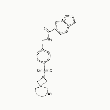 O=C(NCc1ccc(S(=O)(=O)N2CC3(CCCNC3)C2)cc1)c1ccc2nccn2c1